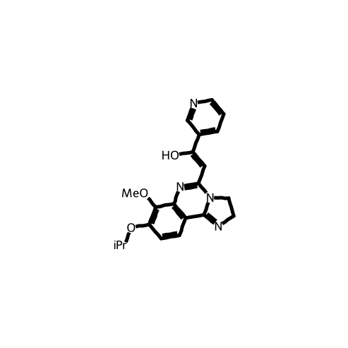 COc1c(OC(C)C)ccc2c1N=C(/C=C(\O)c1cccnc1)N1CCN=C21